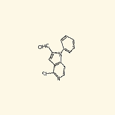 O=Cc1cc2c(Cl)nccc2n1-c1ccccc1